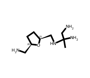 CC(N)(CN)NC[C@@H]1CC[C@H](CN)O1